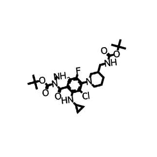 CC(C)(C)OC(=O)NCC1CCCN(c2c(F)cc(C(=O)N(N)C(=O)OC(C)(C)C)c(NC3CC3)c2Cl)C1